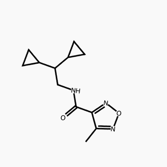 Cc1nonc1C(=O)NCC(C1CC1)C1CC1